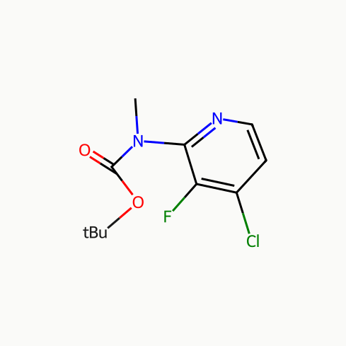 CN(C(=O)OC(C)(C)C)c1nccc(Cl)c1F